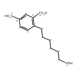 CCCCCCCCCCCCCCCCc1ccc(S(=O)(=O)O)cc1C(=O)O